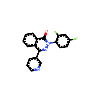 O=c1c2ccccc2c(-c2cccnc2)nn1-c1ccc(F)cc1F